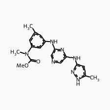 COC(=O)N(C)c1cc(C)cc(Nc2cncc(Nc3cc(C)[nH]n3)n2)c1